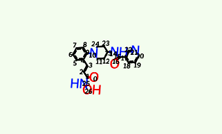 O=C(C=Cc1ccccc1N1CCC(NC(=O)c2cccnc2)CC1)NO